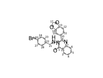 O=c1c2ccccc2nc(-c2ccc3c(c2)OCO3)n1NCc1ccc(Br)cc1